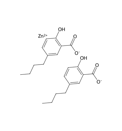 CCCCc1ccc(O)c(C(=O)[O-])c1.CCCCc1ccc(O)c(C(=O)[O-])c1.[Zn+2]